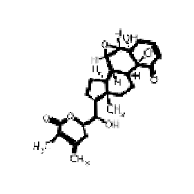 CC1=C(C)C(=O)O[C@@H]([C@H](O)[C@H]2CC[C@H]3[C@@H]4[C@@H]5O[C@@H]5[C@@]5(O)CC=CC(=O)[C@]5(C)[C@H]4CC[C@]23C)C1